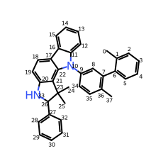 Cc1ccccc1-c1cc(-n2c3ccccc3c3ccc4c(c32)C(C)(C)C(c2ccccc2)N4)ccc1C